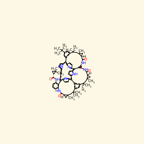 CC(C)(C)c1cc2cc(c1)C(C)(C)CC1(C)C[C@@H]1C(=O)Nc1cccc3c1-c1c4nc(c-2c2ccc([nH]2)c2c5nc(c(c6ccc1[nH]6)-c1cc(cc(c1)C(C)(C)CC1(C)C[C@H]1C(=O)N3)C(C)(C)CC1(C)C[C@@H]1C(=O)Nc1cccc(NC(=O)[C@@H]3CC3(C)C)c1-2)C=C5)C=C4